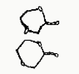 O=C1COCCO1.O=C1COCCO1